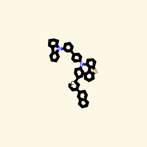 c1cc(-c2ccc(N(c3ccc(-c4cccc(-n5c6ccccc6c6ccccc65)c4)cc3)c3cccc4sc5ccccc5c34)cc2)cc(-c2ccc3ccccc3c2)c1